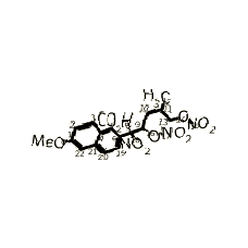 COc1ccc2cc([C@@](C(=O)O)(C(CC(C)CO[N+](=O)[O-])O[N+](=O)[O-])[N+](=O)[O-])ccc2c1